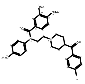 COc1ccc(N(CCN2CCC(C(=O)c3ccc(F)cc3)CC2)C(=O)c2ccc(NC(C)=O)c(OC)c2)cc1